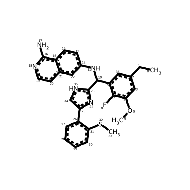 CCc1cc(OC)c(F)c(C(Nc2ccc3c(N)nccc3c2)c2nc(-c3ccccc3SC)c[nH]2)c1